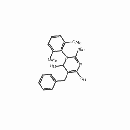 CCCCC1=NC(O)=C(Cc2ccccc2)C(O)N1c1c(OC)cccc1OC